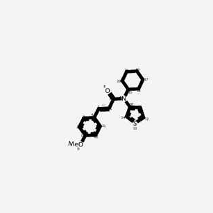 COc1ccc(/C=C/C(=O)N(c2ccsc2)C2CCCCC2)cc1